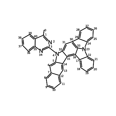 Cc1nc(-n2c3cc4ccccc4cc3c3c4c5ccccc5n5c6ccccc6c(cc32)c45)nc2ccccc12